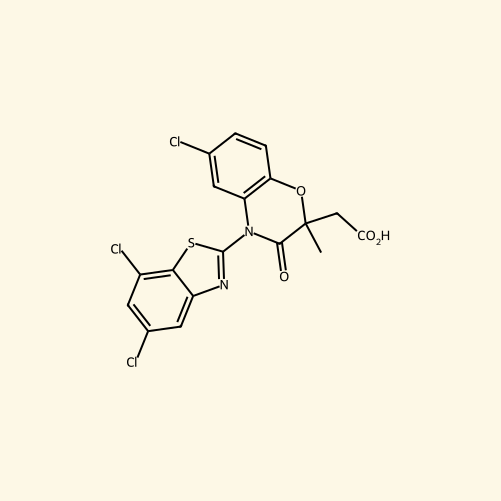 CC1(CC(=O)O)Oc2ccc(Cl)cc2N(c2nc3cc(Cl)cc(Cl)c3s2)C1=O